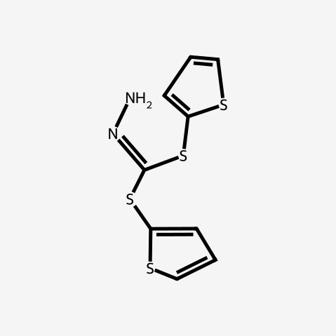 NN=C(Sc1cccs1)Sc1cccs1